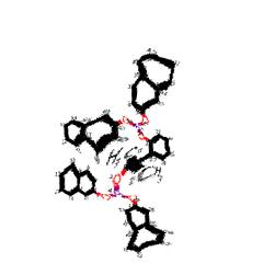 CC(C)(OP(Oc1ccc2ccccc2c1)Oc1ccc2ccccc2c1)c1ccccc1OP(Oc1ccc2ccccc2c1)Oc1ccc2ccccc2c1